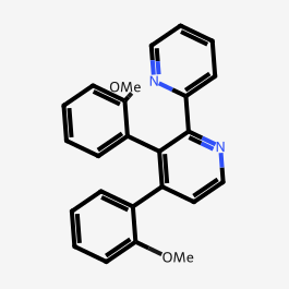 COc1ccccc1-c1ccnc(-c2ccccn2)c1-c1ccccc1OC